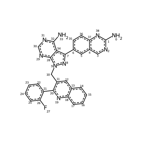 Nc1ncc2cc(-c3nn(Cc4cc5ccccc5nc4-c4ccccc4F)c4ncnc(N)c34)ccc2n1